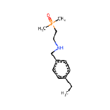 CCc1ccc(CNCCP(C)(C)=O)cc1